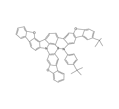 CC(C)(C)c1ccc(N2B3c4cc5c(cc4-n4c6ccc7c8ccccc8oc7c6c6ccc(c3c64)-c3cc4oc6ccc(C(C)(C)C)cc6c4cc32)oc2ccccc25)cc1